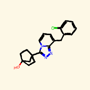 OC12CCC(c3nnc4c(Cc5ccccc5Cl)cccn34)(CC1)C2